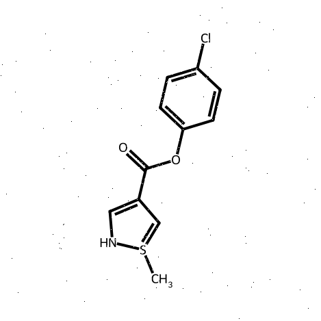 CS1=CC(C(=O)Oc2ccc(Cl)cc2)=CN1